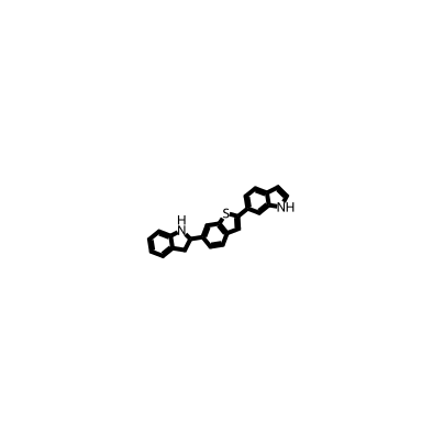 c1ccc2c(c1)CC(c1ccc3cc(-c4ccc5cc[nH]c5c4)sc3c1)N2